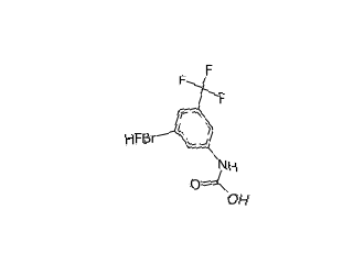 F.O=C(O)Nc1cc(Br)cc(C(F)(F)F)c1